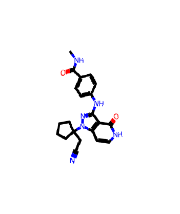 CNC(=O)c1ccc(Nc2nn(C3(CC#N)CCCC3)c3cc[nH]c(=O)c23)cc1